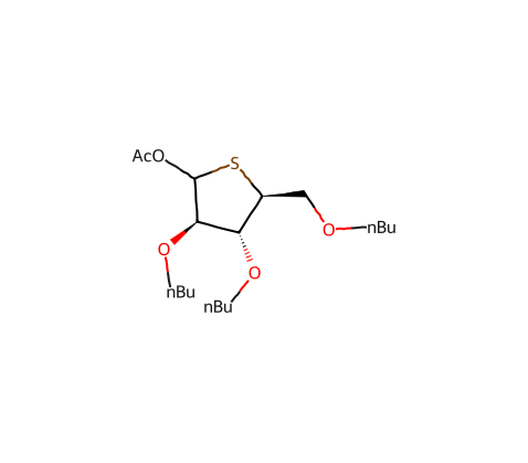 CCCCOC[C@@H]1SC(OC(C)=O)[C@H](OCCCC)[C@H]1OCCCC